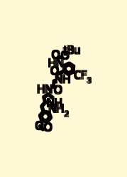 CC(C)(C)OC(=O)Nc1ccc(C(F)(F)F)cc1C(=O)NCC(=O)NC1CNC(Cc2cc3c(cc2N)OCO3)C1